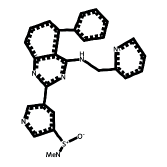 CN[S+]([O-])c1cncc(-c2nc(NCc3ccccn3)c3c(-c4ccccc4)cccc3n2)c1